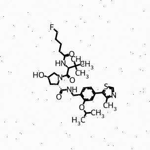 Cc1ncsc1-c1ccc(CNC(=O)[C@@H]2C[C@@H](O)CN2C(=O)[C@@H](NC(=O)CCCCF)C(C)(C)C)c(OC(C)C)c1